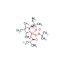 C=C(C)C(=O)[O][Ti]([O]C(=O)C(=C)C)([O]C(=O)C(=C)C)[C]1=C(C)C(C)=C(C)C1C